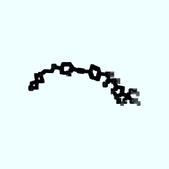 CC(C)(C)c1cc(NC(=O)Nc2ccc(C#Cc3ccc(OCCN4CC5(COC5)C4)cn3)cc2)no1